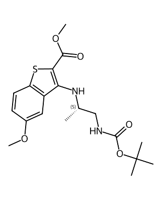 COC(=O)c1sc2ccc(OC)cc2c1N[C@@H](C)CNC(=O)OC(C)(C)C